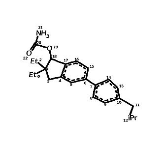 CCC1(CC)Cc2cc(-c3ccc(CC(C)C)cc3)ccc2C1OC(N)=O